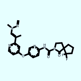 C=NN(C)/C=C(\C)c1cc(Oc2ccc(NC(=O)N3CCC4(CCCC4(F)F)C3=O)nc2)ccn1